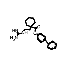 N=C(N)NCCC1(C(=O)Oc2ccc(-c3ccccc3)cc2)CCCCC1